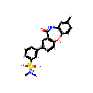 Cc1ccc2c(c1)NC(=O)c1cc(-c3cccc(S(=O)(=O)N(C)C)c3)ccc1O2